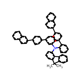 CC1(C)c2ccccc2-c2c(N(c3cccc(-c4ccc(-c5ccc6ccccc6c5)cc4)c3)c3ccccc3-c3ccc(-c4ccc5ccccc5c4)cc3)cccc21